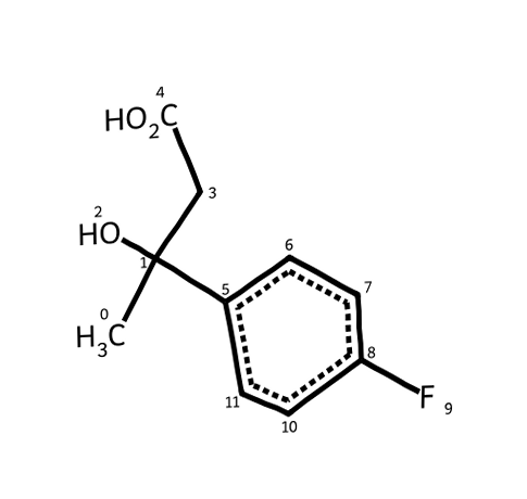 CC(O)(CC(=O)O)c1ccc(F)cc1